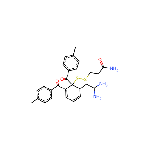 Cc1ccc(C(=O)C2=CC=CC(CC(N)N)C2(SSCCC(N)=O)C(=O)c2ccc(C)cc2)cc1